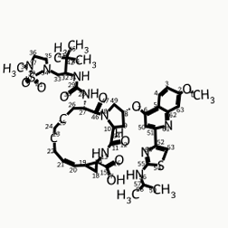 COc1ccc2c(O[C@@H]3C[C@H]4C(=O)N[C@]5(C(=O)O)CC5/C=C\CCCCC[C@H](NC(=O)NC(CN5CCN(C)S5(=O)=O)C(C)(C)C)C(=O)N4C3)cc(-c3csc(NC(C)C)n3)nc2c1